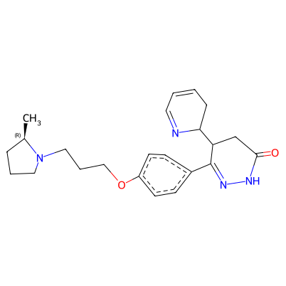 C[C@@H]1CCCN1CCCOc1ccc(C2=NNC(=O)CC2C2CC=CC=N2)cc1